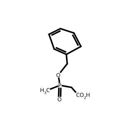 CP(=O)(CC(=O)O)OCc1ccccc1